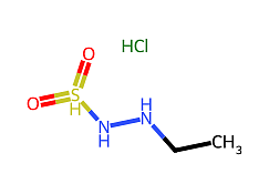 CCNN[SH](=O)=O.Cl